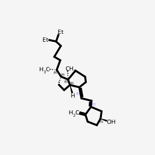 C=C1CC[C@H](O)C/C1=C/C=C1\CCC[C@]2(C)[C@@H]([C@H](C)CCCC(CC)CC)CC[C@@H]12